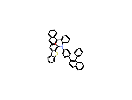 c1ccc(-c2c(-c3ccc(N(c4ccccc4-c4cccc5ccccc45)c4cccc5c4sc4ccccc45)cc3)ccc3ccccc23)cc1